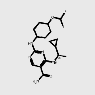 C[C@@H](Nc1nc(NC2CCC(OC(F)F)CC2)ncc1C(N)=O)C1CC1